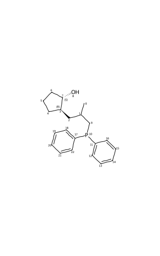 CC(C[C@H]1CCC[C@@H]1O)CP(c1ccccc1)c1ccccc1